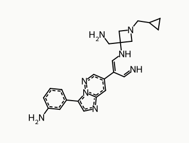 N=C/C(=C\NC1(CN)CN(CC2CC2)C1)c1cnn2c(-c3cccc(N)c3)cnc2c1